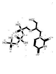 O=c1ccn(CC(CO)OCP(=O)(O)OP(=O)(O)OP(=O)(O)O)c(=O)[nH]1